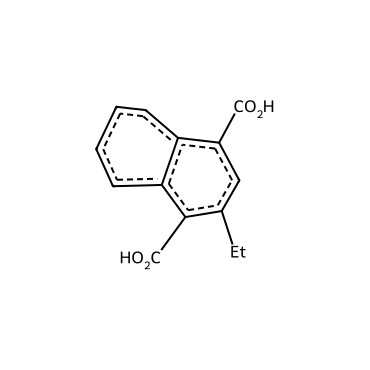 CCc1cc(C(=O)O)c2ccccc2c1C(=O)O